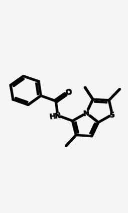 Cc1cc2sc(C)c(C)n2c1NC(=O)c1ccccc1